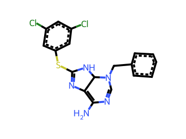 NC1=C2N=C(Sc3cc(Cl)cc(Cl)c3)NC2N(Cc2ccccc2)C=N1